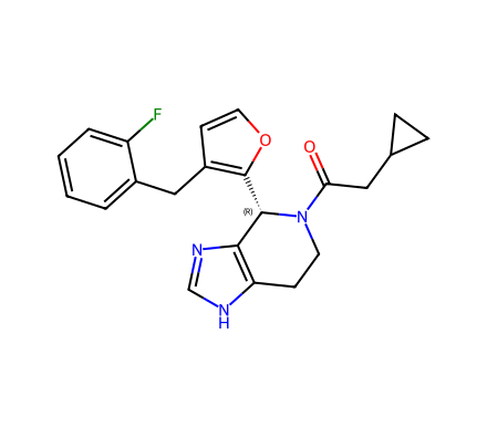 O=C(CC1CC1)N1CCc2[nH]cnc2[C@@H]1c1occc1Cc1ccccc1F